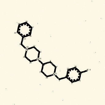 Fc1ccc(CN2CCC(N3CCN(Cc4ccccc4)CC3)CC2)cc1